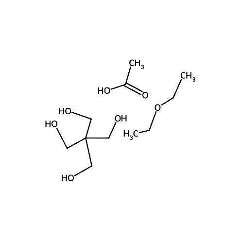 CC(=O)O.CCOCC.OCC(CO)(CO)CO